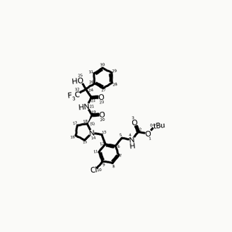 CC(C)(C)OC(=O)NCc1ccc(Cl)cc1CN1CCC[C@H]1C(=O)NC(=O)C(O)(c1ccccc1)C(F)(F)F